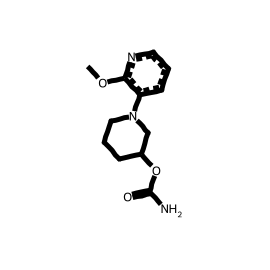 COc1ncccc1N1CCCC(OC(N)=O)C1